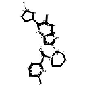 Cc1cccc(C(=O)N2CCCC[C@H]2c2cn3nc(C4CC[C@H](C)C4)c(C)cc3n2)n1